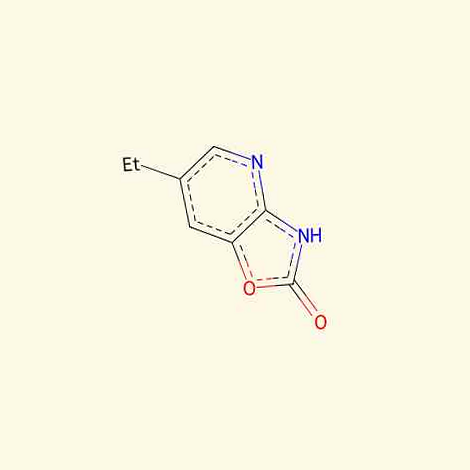 CCc1cnc2[nH]c(=O)oc2c1